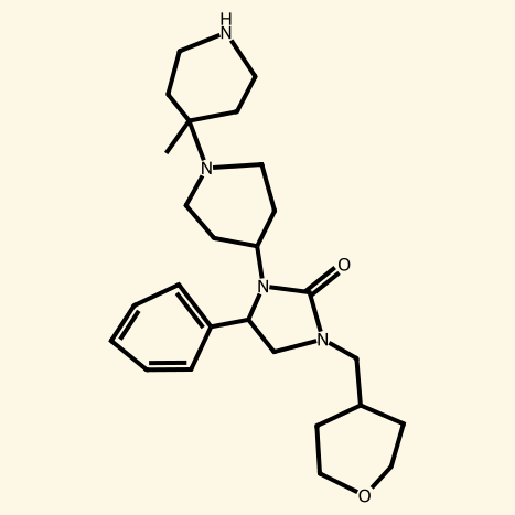 CC1(N2CCC(N3C(=O)N(CC4CCOCC4)CC3c3ccccc3)CC2)CCNCC1